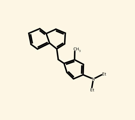 CCN(CC)c1ccc(Cc2cccc3ccccc23)c(C)c1